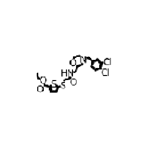 CCOC(=O)c1ccc(SCC(=O)NCC2CN(Cc3ccc(Cl)c(Cl)c3)CCO2)s1